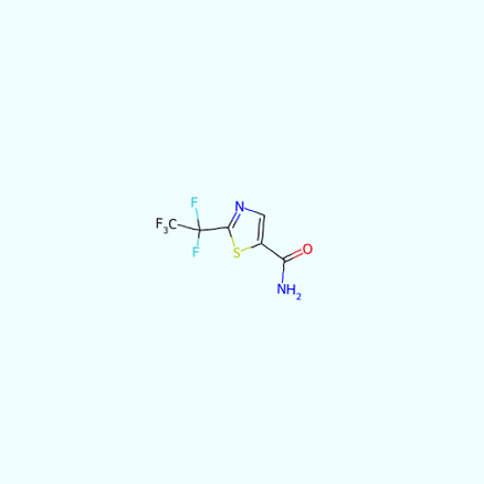 NC(=O)c1cnc(C(F)(F)C(F)(F)F)s1